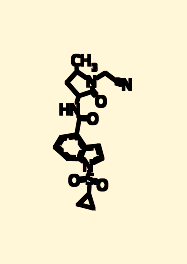 CC1CC(NC(=O)c2cccc3c2ccn3S(=O)(=O)C2CC2)C(=O)N1CC#N